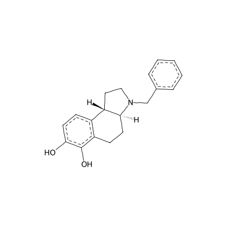 Oc1ccc2c(c1O)CC[C@H]1[C@H]2CCN1Cc1ccccc1